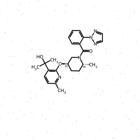 Cc1ccc(C(C)(C)O)c(O[C@@H]2CC[C@@H](C)N(C(=O)c3ccccc3-n3nccn3)C2)n1